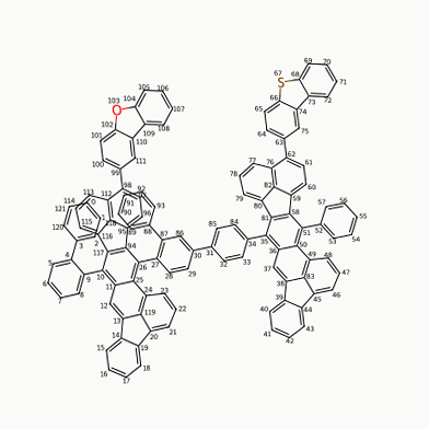 c1ccc(-c2ccccc2-c2c3cc4c5ccccc5c5cccc(c3c(-c3ccc(-c6ccc(-c7c8cc9c%10ccccc%10c%10cccc(c8c(-c8ccccc8)c8c%11ccc(-c%12ccc%13sc%14ccccc%14c%13c%12)c%12cccc(c78)c%12%11)c%109)cc6)cc3-c3ccccc3)c3c6ccc(-c7ccc8oc9ccccc9c8c7)c7cccc(c23)c76)c54)cc1